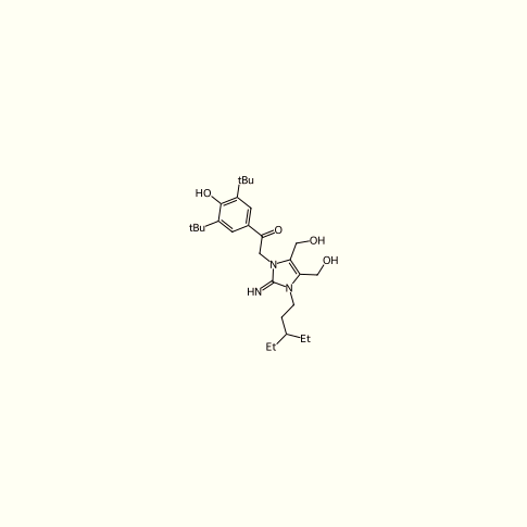 CCC(CC)CCn1c(CO)c(CO)n(CC(=O)c2cc(C(C)(C)C)c(O)c(C(C)(C)C)c2)c1=N